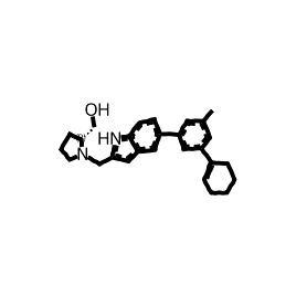 Cc1cc(C2=CCCCC2)cc(-c2ccc3[nH]c(CN4CCC[C@@H]4CO)cc3c2)c1